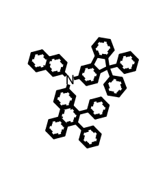 c1ccc(-c2c(-c3ccccc3)c3cc(N(c4ccc5c(c4)-c4ccccc4C5(c4ccccc4)c4ccccc4)c4ccc5ccccc5c4)ccc3c3ccccc23)cc1